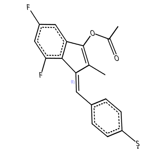 CSc1ccc(/C=C2\C(C)=C(OC(C)=O)c3cc(F)cc(F)c32)cc1